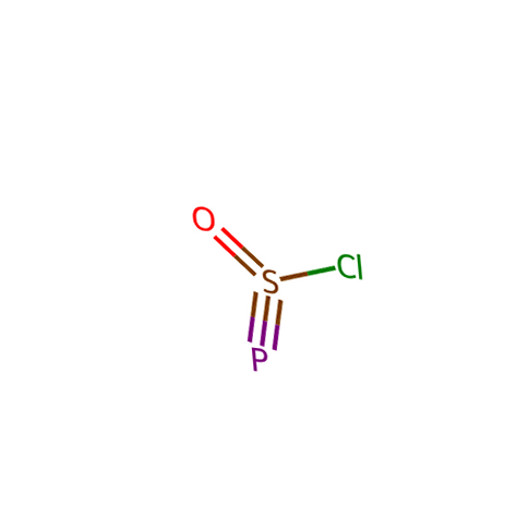 O=S(#P)Cl